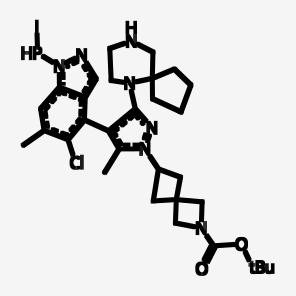 Cc1cc2c(cnn2PI)c(-c2c(N3CCNCC34CCCC4)nn(C3CC4(C3)CN(C(=O)OC(C)(C)C)C4)c2C)c1Cl